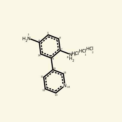 Cl.Cl.Cl.Nc1ccc(N)c(-c2cccnc2)c1